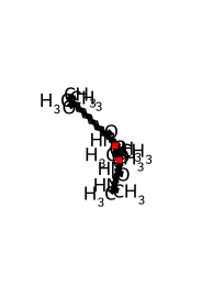 CC(C)NCCC(=O)NCCOC(C)(OCCNC(=O)CCCCCCCCCCC(=O)C(C)(C)C)C(C)(C)C